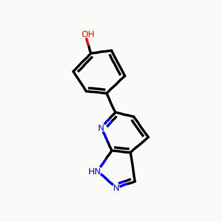 Oc1ccc(-c2ccc3cn[nH]c3n2)cc1